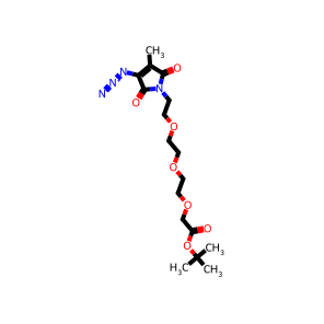 CC1=C(N=[N+]=[N-])C(=O)N(CCOCCOCCOCC(=O)OC(C)(C)C)C1=O